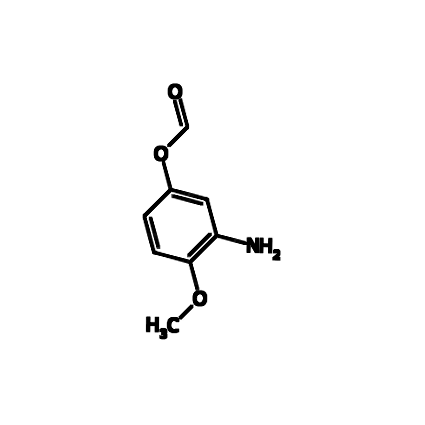 COc1ccc(OC=O)cc1N